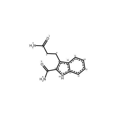 NC(=O)[CH]Cc1c(C(N)=O)[nH]c2ccccc12